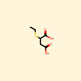 CCSC(CC(=O)O)C(=O)O